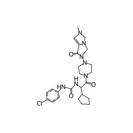 CN1C=C2C(=O)N(N3CCN(C(=O)C(NC(=O)Nc4ccc(Cl)cc4)C4CCCC4)CC3)CN2C1